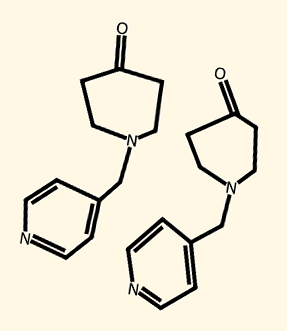 O=C1CCN(Cc2ccncc2)CC1.O=C1CCN(Cc2ccncc2)CC1